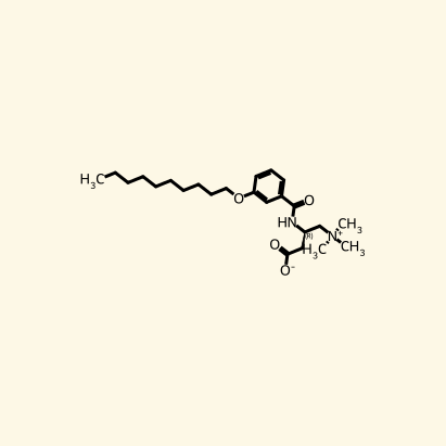 CCCCCCCCCCOc1cccc(C(=O)N[C@H](CC(=O)[O-])C[N+](C)(C)C)c1